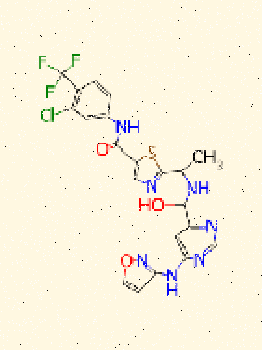 CC(NC(O)c1cc(Nc2ccon2)ncn1)c1ncc(C(=O)Nc2ccc(C(F)(F)F)c(Cl)c2)s1